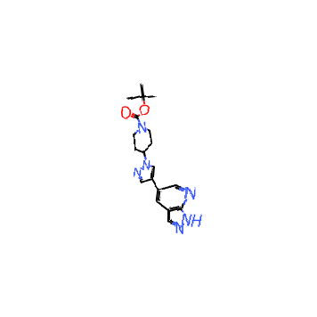 CC(C)(C)OC(=O)N1CCC(n2cc(-c3cnc4[nH]ncc4c3)cn2)CC1